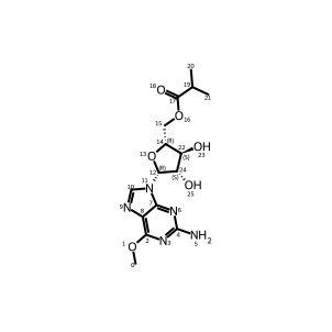 COc1nc(N)nc2c1ncn2[C@@H]1O[C@H](COC(=O)C(C)C)[C@@H](O)[C@@H]1O